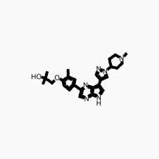 Cc1cc(-c2cnc3[nH]cc(-c4cnn(C5CCN(C)CC5)c4)c3n2)ccc1OCC(C)(C)O